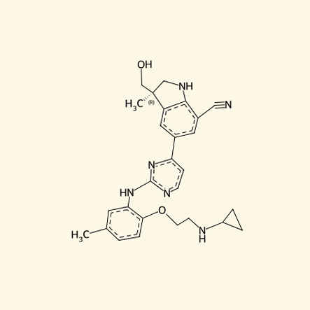 Cc1ccc(OCCNC2CC2)c(Nc2nccc(-c3cc(C#N)c4c(c3)[C@@](C)(CO)CN4)n2)c1